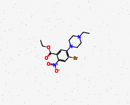 CCOC(=O)c1cc(N2CCN(CC)CC2)c(Br)cc1[N+](=O)[O-]